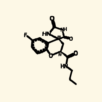 CCCNC(=O)[C@@H]1C[C@]2(NC(=O)NC2=O)c2cc(F)ccc2O1